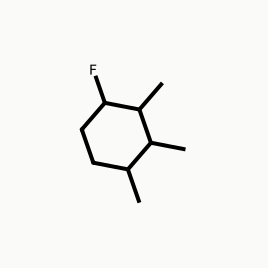 CC1CCC(F)C(C)C1C